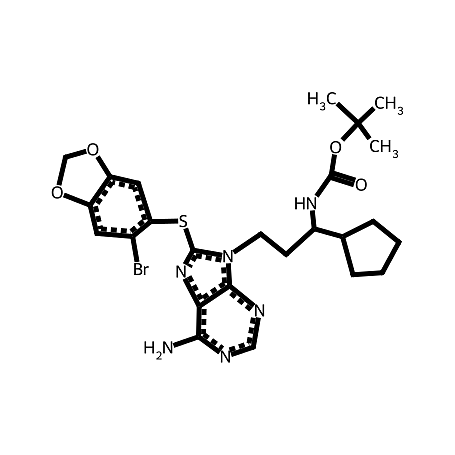 CC(C)(C)OC(=O)NC(CCn1c(Sc2cc3c(cc2Br)OCO3)nc2c(N)ncnc21)C1CCCC1